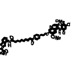 COc1cc(Nc2c(C#N)cnc3cc(OCCCN4CCN(C(=O)CCCCCCCCC(=O)Nc5cccc6c5CN(C5CCC(=O)NC5=O)C6=O)CC4)c(OC)cc23)c(Cl)cc1Cl